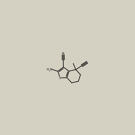 C#CC1(C)CCCc2sc(N)c(C#N)c21